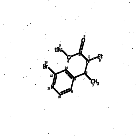 CCN(C(=O)OC(C)(C)C)C(C)c1ccnc(Br)c1